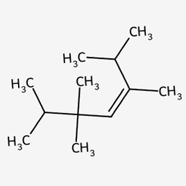 CC(=CC(C)(C)C(C)C)C(C)C